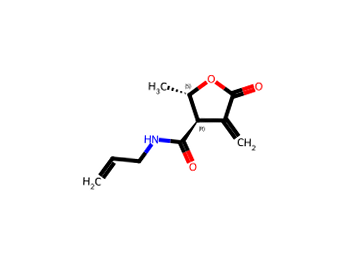 C=CCNC(=O)[C@@H]1C(=C)C(=O)O[C@H]1C